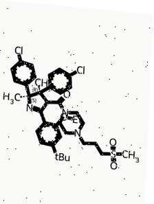 CCOc1cc(C(C)(C)C)ccc1C1=N[C@@](C)(c2ccc(Cl)cc2)[C@@](C)(c2ccc(Cl)cc2)C1C(=O)N1CCN(CCCS(C)(=O)=O)CC1